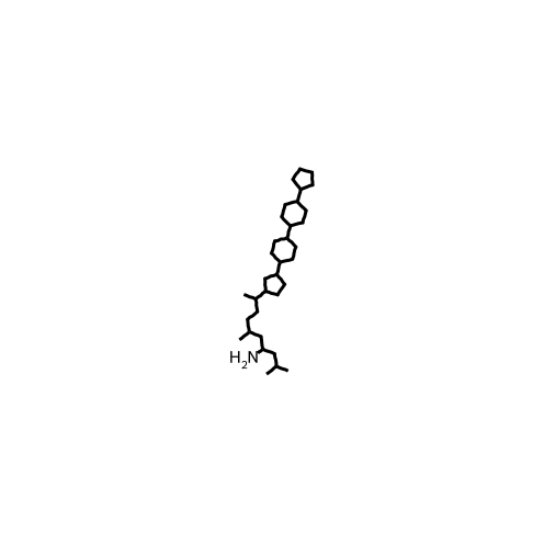 CC(C)CC(N)CC(C)CCC(C)C1CCC(C2CCC(C3CCC(C4CCCC4)CC3)CC2)C1